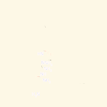 CCCCCCCC/C=C\CCCCCCCC(=O)N[C@@H](CN(N)/C=C(\N)CNC(=O)C(N)CCCCN)[C@H](O)/C=C/CCCCCCCCCCCCC